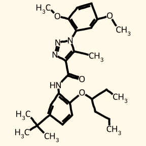 CCCC(CC)Oc1ccc(C(C)(C)C)cc1NC(=O)c1nnn(-c2cc(OC)ccc2OC)c1C